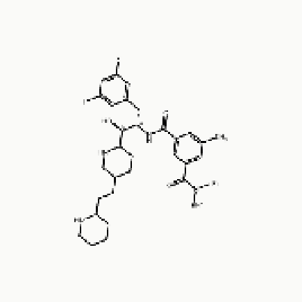 CCCN(CCC)C(=O)c1cc(C)cc(C(=O)N[C@@H](Cc2cc(F)cc(F)c2)[C@H](O)C2CCC(CCC3CCCCN3)CN2)c1